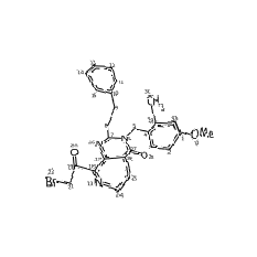 COc1ccc(Cn2c(CCc3ccccc3)nc3c(C(=O)CBr)nccc3c2=O)c(C)c1